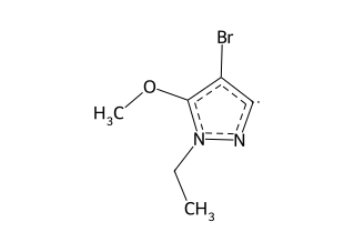 CCn1n[c]c(Br)c1OC